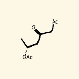 CC(=O)CC(=O)C[C@@H](C)OC(C)=O